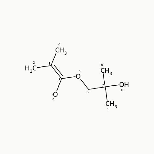 CC(C)=C([O])OCC(C)(C)O